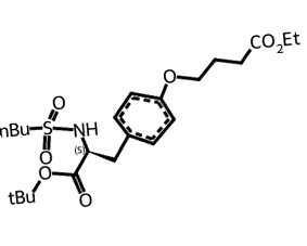 CCCCS(=O)(=O)N[C@@H](Cc1ccc(OCCCC(=O)OCC)cc1)C(=O)OC(C)(C)C